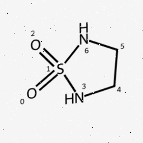 O=S1(=O)NCCN1